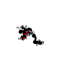 NC(=O)CCC(NC(=O)[C@@H]1CC[C@@H]2CCN(C(=O)NC3CCC(CC#Cc4cccc5c4CN(C4CCC(=O)NC4=O)C5=O)CC3)C[C@H](NC(=O)c3cc4cc(C(F)(F)P(=O)(O)O)ccc4[nH]3)C(=O)N21)C(=O)NC(c1ccccc1)c1ccccc1